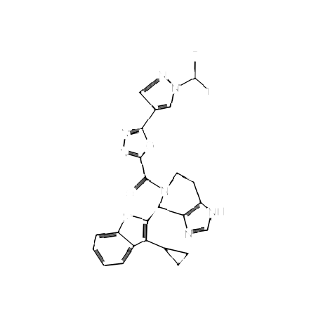 O=C(c1nnc(-c2cnn(C(F)F)c2)o1)N1CCc2[nH]cnc2[C@H]1c1oc2ccccc2c1C1CC1